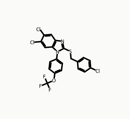 FC(F)(F)Oc1ccc(-n2c(SCc3ccc(Cl)cc3)nc3cc(Cl)c(Cl)cc32)cc1